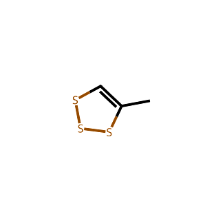 CC1=CSSS1